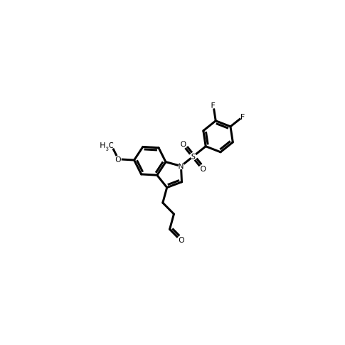 COc1ccc2c(c1)c(CCC=O)cn2S(=O)(=O)c1ccc(F)c(F)c1